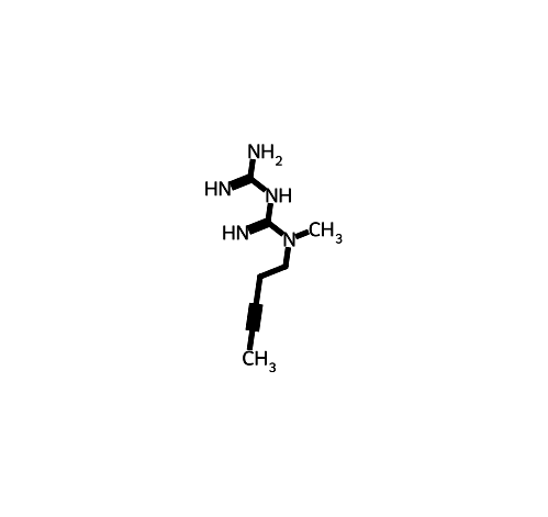 CC#CCCN(C)C(=N)NC(=N)N